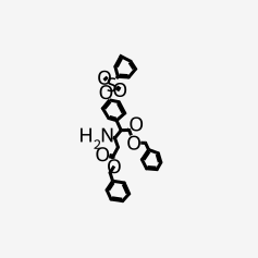 NC(CC(=O)OCc1ccccc1)C(C(=O)OCc1ccccc1)c1ccc(OS(=O)(=O)c2ccccc2)cc1